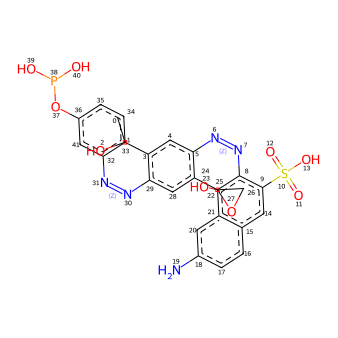 CC(O)c1cc(/N=N\c2c(S(=O)(=O)O)cc3ccc(N)cc3c2O)c(C2CO2)cc1/N=N\c1cccc(OP(O)O)c1